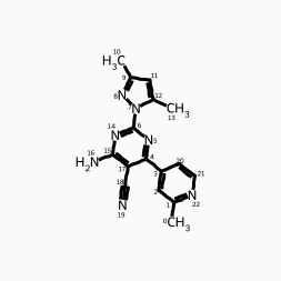 Cc1cc(-c2nc(-n3nc(C)cc3C)nc(N)c2C#N)ccn1